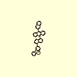 c1ccc2cc(-c3c4ccccc4c(-c4cccc5c(-c6ccc7oc8ccccc8c7c6)cccc45)c4ccccc34)ccc2c1